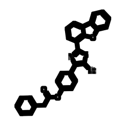 CCc1sc(-c2cccc3c2oc2ccccc23)nc1-c1ccc(OC(=O)Cc2ccccc2)cc1